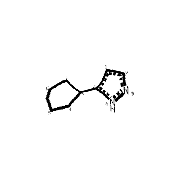 [c]1cc(C2CCCC2)[nH]n1